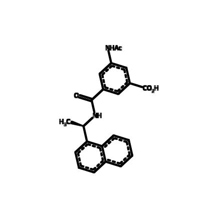 CC(=O)Nc1cc(C(=O)O)cc(C(=O)N[C@H](C)c2cccc3ccccc23)c1